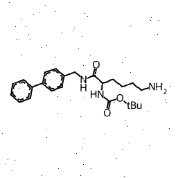 CC(C)(C)OC(=O)NC(CCCCN)C(=O)NCc1ccc(-c2ccccc2)cc1